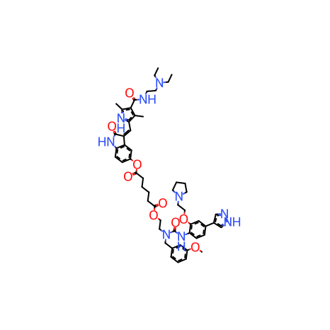 CCN(CC)CCNC(=O)c1c(C)[nH]c(/C=C2\C(=O)Nc3ccc(OC(=O)CCCCC(=O)OCCN(Cc4cccc(OC)c4)C(=O)Nc4ccc(-c5cn[nH]c5)cc4OCCN4CCCC4)cc32)c1C